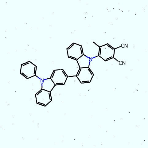 Cc1cc(C#N)c(C#N)cc1-n1c2ccccc2c2c(-c3ccc4c(c3)c3ccccc3n4-c3ccccc3)cccc21